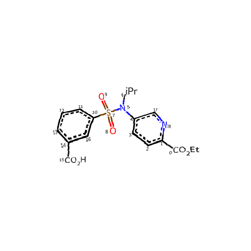 CCOC(=O)c1ccc(N(C(C)C)S(=O)(=O)c2cccc(C(=O)O)c2)cn1